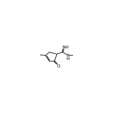 CNC(=N)C1CC(C)=CC1=O